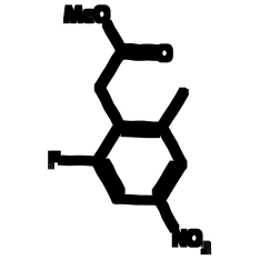 COC(=O)Cc1c(C)cc([N+](=O)[O-])cc1F